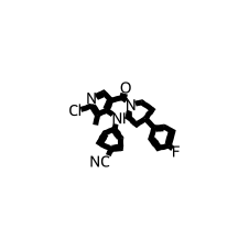 Cc1c(Cl)ncc(C(=O)N2CCC(c3ccc(F)cc3)CC2)c1Nc1ccc(C#N)cc1